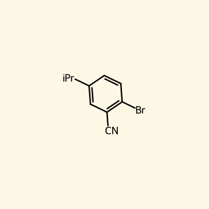 CC(C)c1ccc(Br)c(C#N)c1